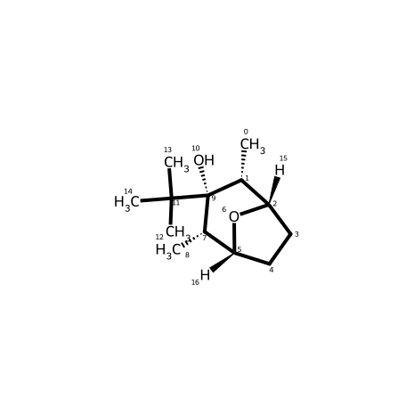 C[C@@H]1[C@@H]2CC[C@@H](O2)[C@H](C)[C@@]1(O)C(C)(C)C